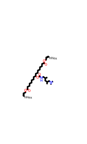 CCCCCC/C=C\COC(=O)CCCCCCCC(CCCCCCCC(=O)OC/C=C\CCCCCC)OC(=O)NCC(C)CC(C)CN(C)C